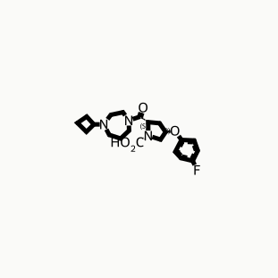 O=C([C@@H]1C[C@@H](Oc2ccc(F)cc2)CN1C(=O)O)N1CCCN(C2CCC2)CC1